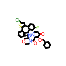 O=C1c2c(OCc3ccccc3)c(=O)ccn2N(C2c3cc(F)ccc3-c3cc(Cl)sc3-c3ccccc32)[C@@H]2COCCN12